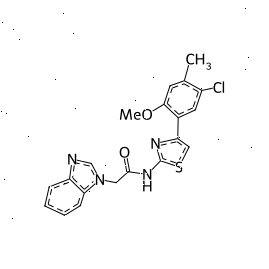 COc1cc(C)c(Cl)cc1-c1csc(NC(=O)Cn2cnc3ccccc32)n1